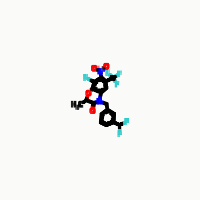 C[C@H]1Oc2c(cc(C(F)(F)F)c([N+](=O)[O-])c2F)N(Cc2cccc(C(F)F)c2)C1=O